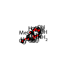 CC[C@H](C)[C@H](NC(=O)CN)C(=O)NCC(=O)N[C@H]1C[S+]([O-])c2[nH]c3c(CSC4CCN(C(=O)CCCCCN5C(=O)C=CC5=O)CC4)c(OC)ccc3c2C[C@@H](CO)NC(=O)[C@H]([C@@H](C)[C@@H](O)CO)NC(=O)[C@@H]2C[C@@H](O)CN2C(=O)[C@H](CC(N)=O)NC1=O